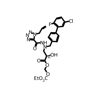 C=CCn1nnnc1C(=O)NN(Cc1ccc(-c2cc(Cl)ccc2F)cc1)C[C@@H](O)C(=O)OCOC(=O)OCC